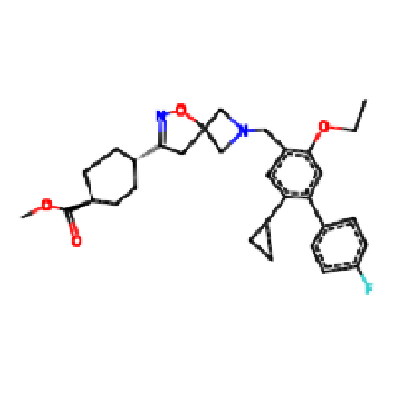 CCOc1cc(-c2ccc(F)cc2)c(C2CC2)cc1CN1CC2(CC([C@H]3CC[C@H](C(=O)OC)CC3)=NO2)C1